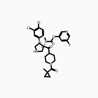 CN(C(=O)Oc1cncc(F)c1)[C@]1(C(=O)C2CCN(C(=O)C3(C)CC3)CC2)CNC[C@H]1c1ccc(Cl)c(Cl)c1